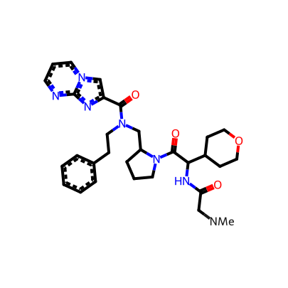 CNCC(=O)NC(C(=O)N1CCCC1CN(CCc1ccccc1)C(=O)c1cn2cccnc2n1)C1CCOCC1